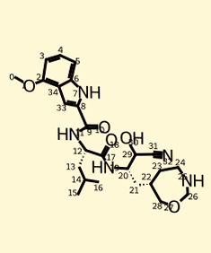 COc1cccc2[nH]c(C(=O)N[C@@H](CC(C)C)C(=O)N[C@@H](C[C@@H]3CCNCOC3)C(O)C#N)cc12